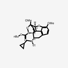 CCCCOC(=O)N1OC2(OC)C=C[C@@]13C1c4c(ccc(OC)c4O[C@H]12)C[C@H]3N(CC)CC1CC1